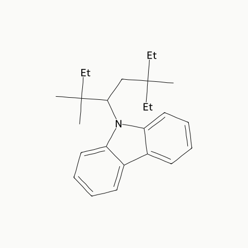 CCC(C)(CC)CC(n1c2ccccc2c2ccccc21)C(C)(C)CC